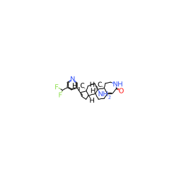 C[C@]12CCNC(=O)C=C1CC[C@H]1[C@@H]3CC=C(c4cncc(C(F)F)c4)[C@@]3(C)CC[C@@]12N